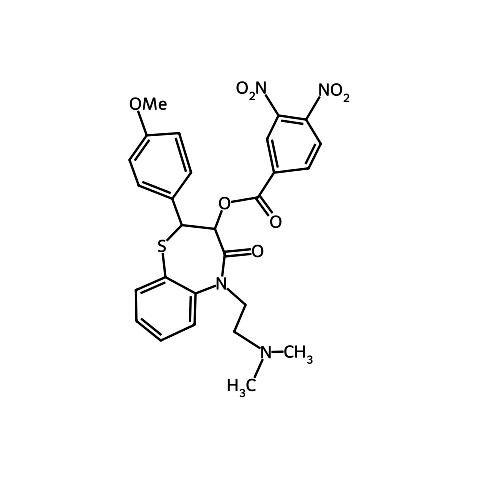 COc1ccc(C2Sc3ccccc3N(CCN(C)C)C(=O)C2OC(=O)c2ccc([N+](=O)[O-])c([N+](=O)[O-])c2)cc1